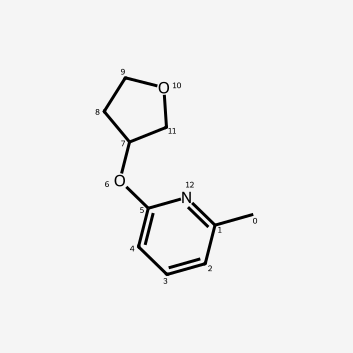 Cc1cccc(OC2CCOC2)n1